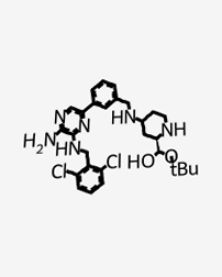 CC(C)(C)OC(O)[C@H]1CC(NCc2cccc(-c3cnc(N)c(NCc4c(Cl)cccc4Cl)n3)c2)CCN1